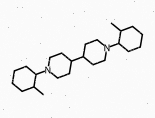 CC1CCCCC1N1CCC(C2CCN(C3CCCCC3C)CC2)CC1